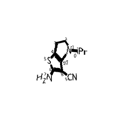 CC(C)N1CCc2sc(N)c(C#N)c21